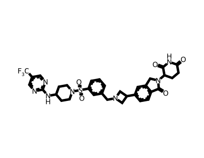 O=C1CCC(N2Cc3cc(C4CN(Cc5cccc(S(=O)(=O)N6CCC(Nc7ncc(C(F)(F)F)cn7)CC6)c5)C4)ccc3C2=O)C(=O)N1